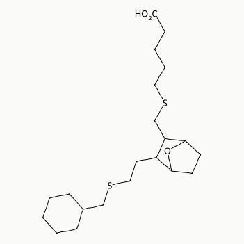 O=C(O)CCCCSCC1C2CCC(O2)C1CCSCC1CCCCC1